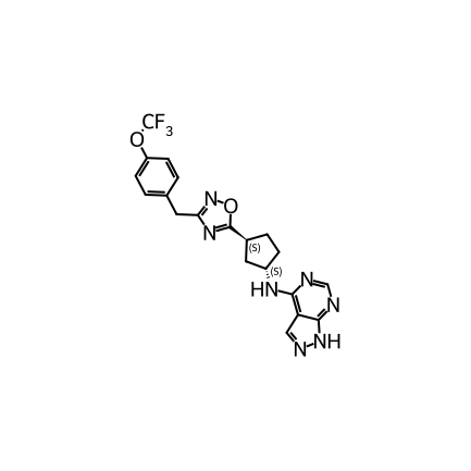 FC(F)(F)Oc1ccc(Cc2noc([C@H]3CC[C@H](Nc4ncnc5[nH]ncc45)C3)n2)cc1